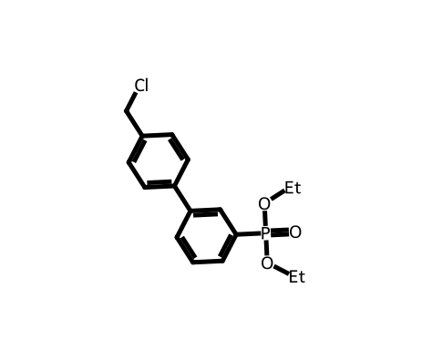 CCOP(=O)(OCC)c1cccc(-c2ccc(CCl)cc2)c1